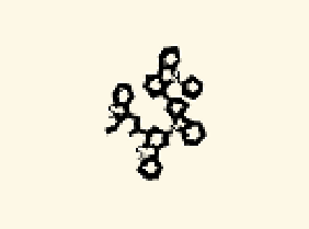 C=Cc1sc2ccccc2c1/C=C(\C)c1cc(-n2c3ccccc3c3ccc(-c4cccc5c6ccccc6n(-c6ccccc6)c45)cc32)cc2c1sc1ccccc12